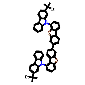 CCC(C)(C)c1ccc2c3ccccc3n(-c3cccc4c3sc3cc(-c5ccc6c(c5)sc5cccc(-n7c8ccccc8c8ccc(C(C)(C)CC)cc87)c56)ccc34)c2c1